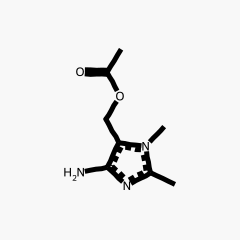 CC(=O)OCc1c(N)nc(C)n1C